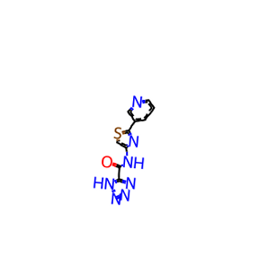 O=C(Nc1csc(-c2cccnc2)n1)c1nnn[nH]1